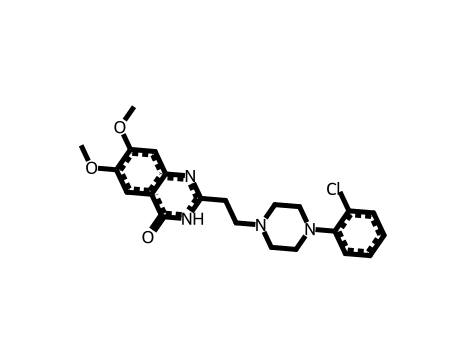 COc1cc2nc(CCN3CCN(c4ccccc4Cl)CC3)[nH]c(=O)c2cc1OC